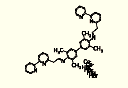 Br.Br.Br.Br.Cc1cc(-c2cc(C)c(N=CCc3cccc(-c4ccccn4)n3)c(C)c2)cc(C)c1N=CCc1cccc(-c2ccccn2)n1.[Co].[Co]